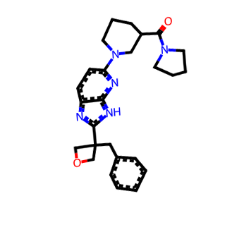 O=C(C1CCCN(c2ccc3nc(C4(Cc5ccccc5)COC4)[nH]c3n2)C1)N1CCCC1